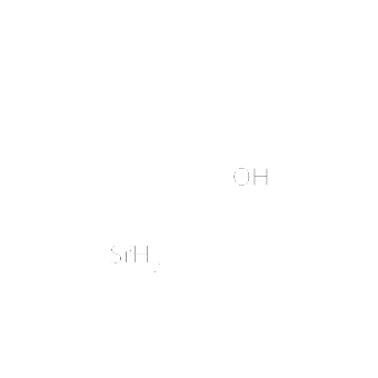 CC(C)(C)O.[SrH2]